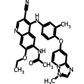 CCOc1cc2ncc(C#N)c(Nc3ccc(Oc4ccn5c(c4)nc[n+]5C)c(C)c3)c2cc1NC(C)=O